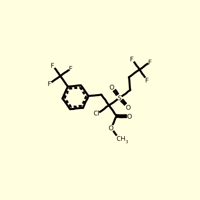 COC(=O)C(Cl)(Cc1cccc(C(F)(F)F)c1)S(=O)(=O)CCC(F)(F)F